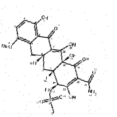 COc1ccc(O)c2c1C[C@H]1C[C@H]3[C@H](NS(C)(=O)=O)C(O)=C(C(N)=O)C(=O)[C@@]3(O)C(O)=C1C2=O